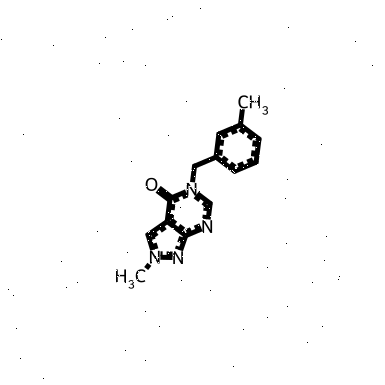 Cc1cccc(Cn2cnc3nn(C)cc3c2=O)c1